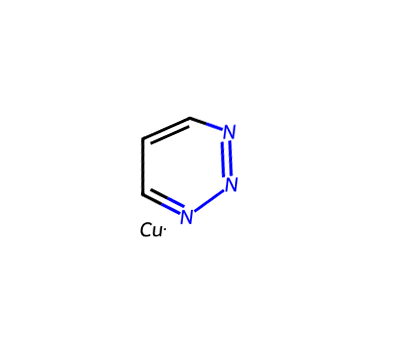 [Cu].c1cnnnc1